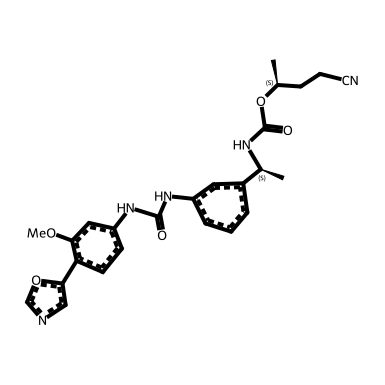 COc1cc(NC(=O)Nc2cccc([C@H](C)NC(=O)O[C@@H](C)CCC#N)c2)ccc1-c1cnco1